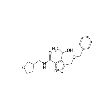 CC(O)c1c(C(=O)NCC2CCOC2)noc1COCc1ccccc1